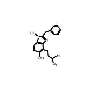 CNc1ccc2c(nc(Cc3ccccc3)n2C)c1CCC(C)O